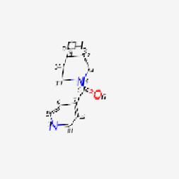 CC1CCN(C(=O)c2ccncc2)CC1